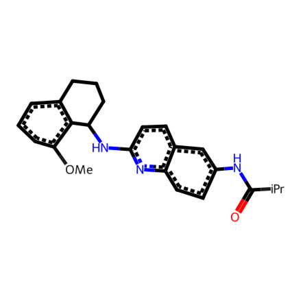 COc1cccc2c1C(Nc1ccc3cc(NC(=O)C(C)C)ccc3n1)CCC2